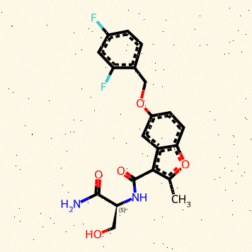 Cc1oc2ccc(OCc3ccc(F)cc3F)cc2c1C(=O)N[C@@H](CO)C(N)=O